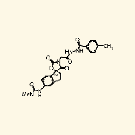 CNC(=O)Nc1ccc2c(c1)CC[C@]21OC(=O)N(CC(=O)NNC(=O)c2ccc(C)cc2)C1=O